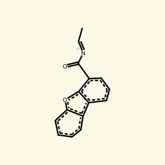 C/C=N/C(=O)c1cccc2c1oc1ccccc12